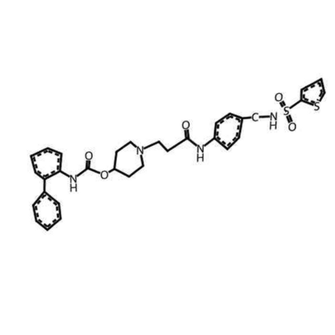 O=C(CCN1CCC(OC(=O)Nc2ccccc2-c2ccccc2)CC1)Nc1ccc(CNS(=O)(=O)c2cccs2)cc1